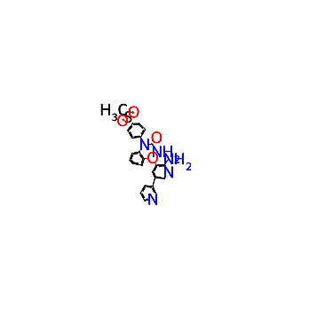 CS(=O)(=O)c1ccc(N(C(N)=O)c2ccccc2Oc2cc(-c3cccnc3)cnc2N)cc1